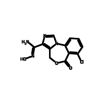 NC(=NO)c1ncn2c1COC(=O)c1c(Cl)cccc1-2